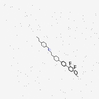 CCCC1CCC(/C=C/CCC2CCC(c3ccc(-c4ccc(OCC)c(F)c4F)cc3)CC2)CC1